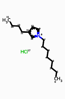 CCCCCCCCn1ccc(CCCC)c1.Cl